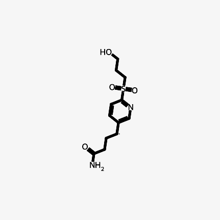 NC(=O)CC[CH]c1ccc(S(=O)(=O)CCCO)nc1